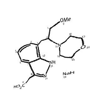 COCC(c1cccc2c(C(=O)O)n[nH]c12)N1CCOCC1.[NaH]